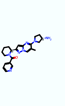 Cc1cn2nc([C@@H]3CCCCN3C(=O)c3cccnc3)cc2nc1N1CC[C@H](N)C1